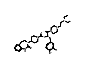 CCN(CC)CCN1CCN(C(=O)[C@@H](Cc2ccc(Br)c(Br)c2)OC(=O)N2CCC(N3CCc4ccccc4NC3=O)CC2)CC1